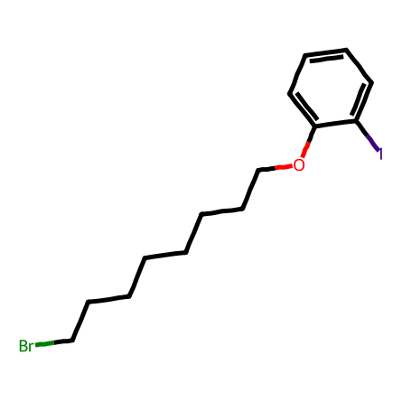 BrCCCCCCCCOc1ccccc1I